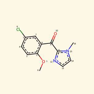 COc1ccc(Cl)cc1C(=O)c1nccn1C